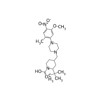 COc1cc(N2CCN(CC3CCN(C(=O)O)C(C(C)(C)C)C3)CC2)c(C)cc1[N+](=O)[O-]